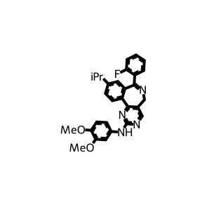 COc1ccc(Nc2ncc3c(n2)-c2ccc(C(C)C)cc2C(c2ccccc2F)=NC3)cc1OC